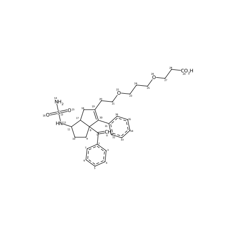 C=C(c1ccccc1)C12CCC(NS(N)(=O)=O)C1CC(CCOCCCOCCC(=O)O)=C2c1ccccc1